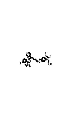 CCN(C(=O)c1cc(F)ccc1-n1cc(CCCCN(C)Cc2ccc3c(c2)[nH]c(=O)n3CCO)c2ccncc21)C(C)C